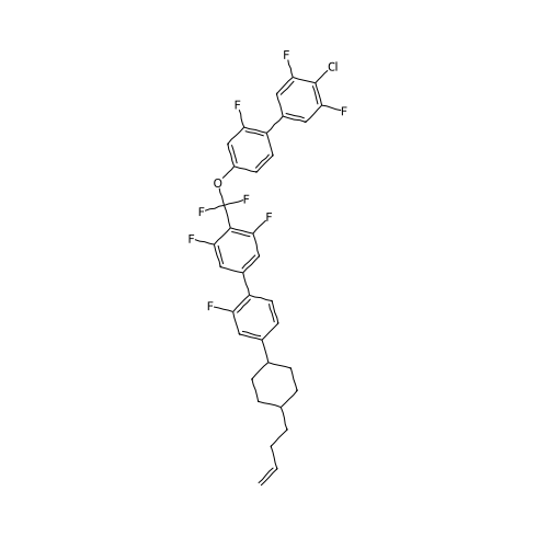 C=CCCC1CCC(c2ccc(-c3cc(F)c(C(F)(F)Oc4ccc(-c5cc(F)c(Cl)c(F)c5)c(F)c4)c(F)c3)c(F)c2)CC1